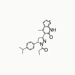 CCC(=O)N1N=C(c2c(C)c3ccsc3[nH]c2=O)CC1c1ccc(C(C)C)cc1